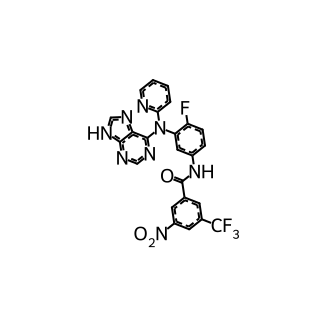 O=C(Nc1ccc(F)c(N(c2ccccn2)c2ncnc3[nH]cnc23)c1)c1cc([N+](=O)[O-])cc(C(F)(F)F)c1